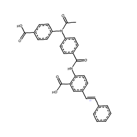 CC(=O)N(c1ccc(C(=O)O)cc1)c1ccc(C(=O)Nc2ccc(/C=C/c3ccccc3)cc2C(=O)O)cc1